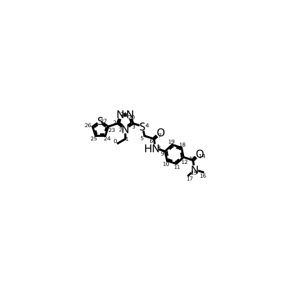 CCn1c(SCC(=O)Nc2ccc(C(=O)N(C)C)cc2)nnc1-c1cccs1